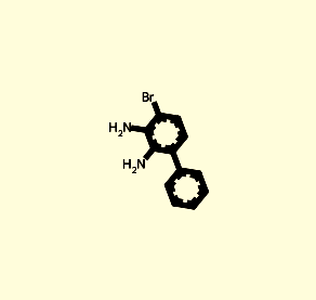 Nc1c(Br)ccc(-c2ccccc2)c1N